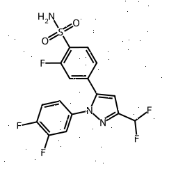 NS(=O)(=O)c1ccc(-c2cc(C(F)F)nn2-c2ccc(F)c(F)c2)cc1F